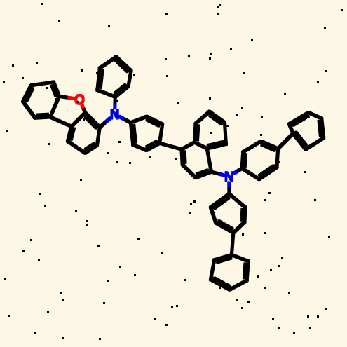 c1ccc(-c2ccc(N(c3ccc(-c4ccccc4)cc3)c3ccc(-c4ccc(N(c5ccccc5)c5cccc6c5oc5ccccc56)cc4)c4ccccc34)cc2)cc1